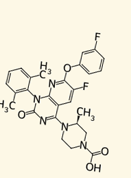 Cc1cccc(C)c1-n1c(=O)nc(N2CCN(C(=O)O)C[C@@H]2C)c2cc(F)c(Oc3cccc(F)c3)nc21